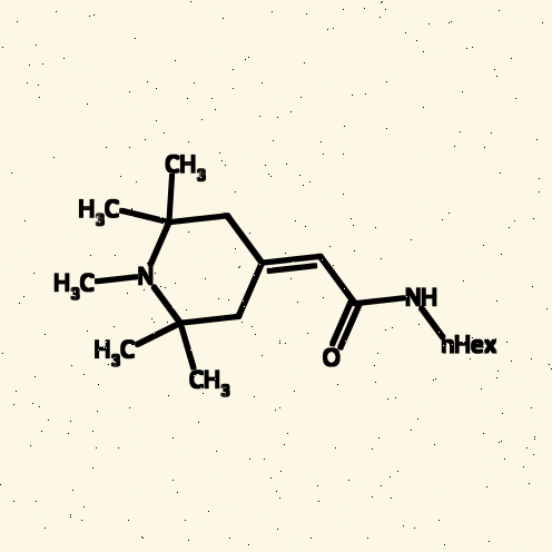 CCCCCCNC(=O)C=C1CC(C)(C)N(C)C(C)(C)C1